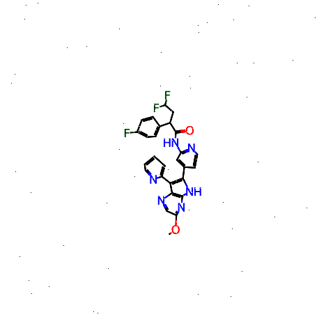 COc1cnc2c(-c3ccccn3)c(-c3ccnc(NC(=O)C(CC(F)F)c4ccc(F)cc4)c3)[nH]c2n1